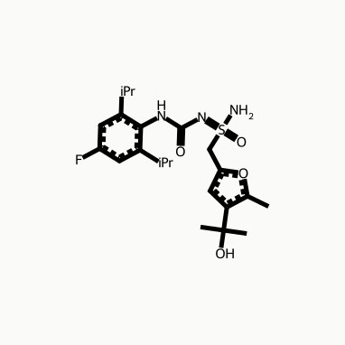 Cc1oc(CS(N)(=O)=NC(=O)Nc2c(C(C)C)cc(F)cc2C(C)C)cc1C(C)(C)O